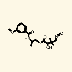 COc1cccc(C(=O)NC(C)CNC(=O)C(O)C(C)(C)CN=O)c1